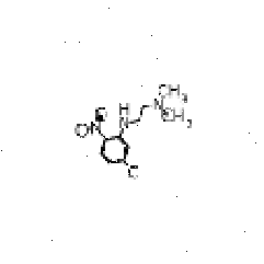 CN(C)CCNc1cc(Cl)ccc1[N+](=O)[O-]